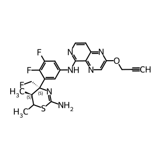 C#CCOc1cnc2c(Nc3cc(F)c(F)c([C@@]4(CF)N=C(N)SC(C)[C@H]4C)c3)nccc2n1